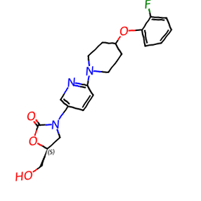 O=C1O[C@H](CO)CN1c1ccc(N2CCC(Oc3ccccc3F)CC2)nc1